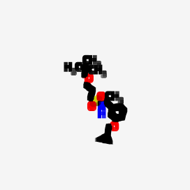 CC(NS(=O)(=O)CCCOCC(C)(C)C)c1cccc(OCC2CC2)c1